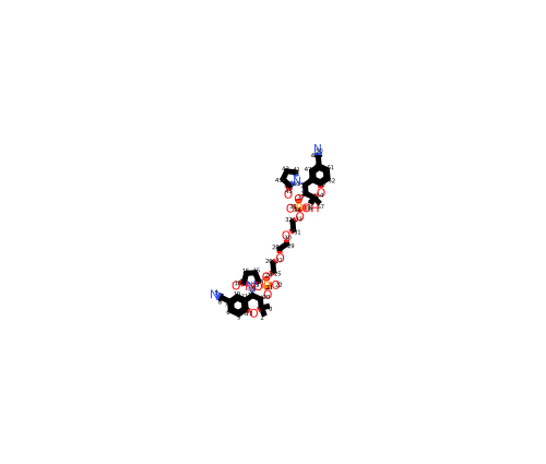 CC1(C)Oc2ccc(C#N)cc2[C@@H](N2CCCC2=O)[C@@H]1OP(=O)(O)OCCOCCOCCOP(=O)(O)O[C@H]1[C@H](N2CCCC2=O)c2cc(C#N)ccc2OC1(C)C